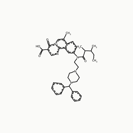 CCC(C)C(C)C(=O)N(CCN1CCN(C(c2ccccc2)c2ccccc2)CC1)c1ccc2c(C)cn3c(=O)c(C(=O)O)cnc3c2c1